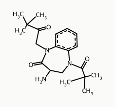 CC(C)(C)C(=O)CN1C(=O)C(N)CN(C(=O)C(C)(C)C)c2ccccc21